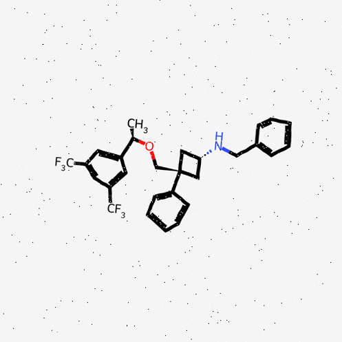 C[C@@H](OC[C@]1(c2ccccc2)C[C@@H](NCc2ccccc2)C1)c1cc(C(F)(F)F)cc(C(F)(F)F)c1